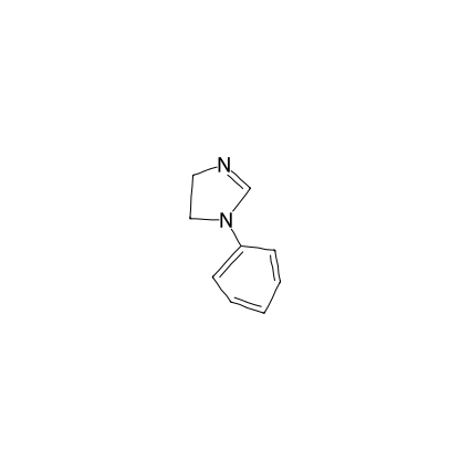 C1=NCCN1c1ccccc1